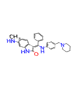 CNc1ccc2c(c1)NC(=O)/C2=C(\Nc1ccc(CN2CCCCC2)cc1)c1ccccc1